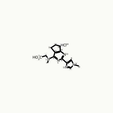 CN(CC(=O)O)c1nc(-c2cn(C)cn2)nc2c1CCC2.Cl